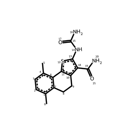 Cc1ccc(C)c2c1CCc1c-2sc(NC(N)=O)c1C(N)=O